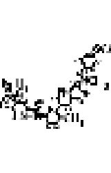 COc1ccc(CN(C)c2cc3ncc(-c4cc(NC(=O)c5cc(C(C)(C)C#N)ccn5)ccc4C)cc3cn2)cc1